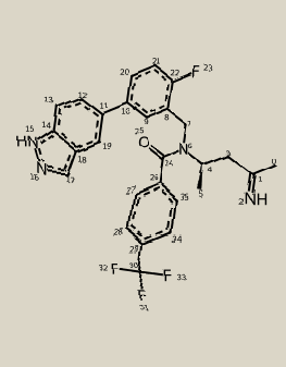 CC(=N)C[C@@H](C)N(Cc1cc(-c2ccc3[nH]ncc3c2)ccc1F)C(=O)c1ccc(C(F)(F)F)cc1